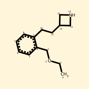 CCOCc1ccccc1CCC1CNC1